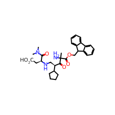 CN(C)C(=O)[C@H](CC(=O)O)NC[C@@H](C(=O)C(C)(N)C(=O)OCC1c2ccccc2-c2ccccc21)C1CCCC1